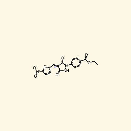 CCOC(=O)c1ccc(N2NC(=O)/C(=C\c3ccc([N+](=O)[O-])o3)C2=O)cc1